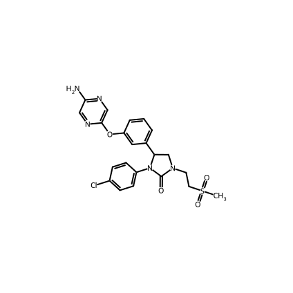 CS(=O)(=O)CCN1CC(c2cccc(Oc3cnc(N)cn3)c2)N(c2ccc(Cl)cc2)C1=O